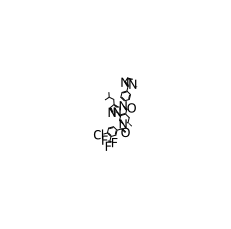 CC(C)Cc1cnn2c3c(c(=O)n(-c4ccc(-c5nccn5C)cc4)c12)C[C@@H](C)N(C(=O)c1ccc(Cl)c(C(F)(F)F)c1)C3